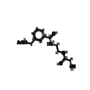 CC(=O)NCc1cccc(C(=O)NCCOC(=O)CO)c1